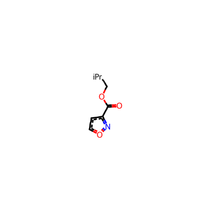 CC(C)COC(=O)c1ccon1